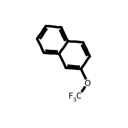 FC(F)([18F])Oc1ccc2ccccc2c1